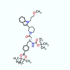 COCCCn1c(C2CCCN(C(=O)C[C@@H](Cc3ccc(B4OC(C)(C)C(C)(C)O4)cc3)NC(=O)OC(C)(C)C)C2)cc2ccccc21